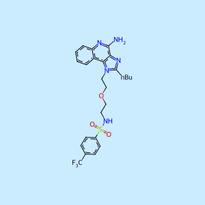 CCCCc1nc2c(N)nc3ccccc3c2n1CCOCCNS(=O)(=O)c1ccc(C(F)(F)F)cc1